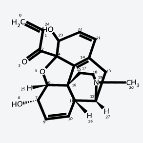 C=CC(=O)C12O[C@H]3[C@@H](O)C=C[C@H]4[C@H]5CC(=C1[C@]43CCN5C)C=CC2O